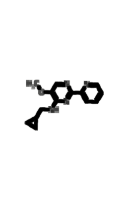 COc1cnc(-c2ccccn2)nc1NCC1CC1